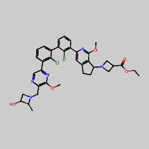 CCOC(=O)C1CN(C2CCc3cc(-c4cccc(-c5cccc(-c6cnc(CN7CC(O)C7C)c(OC)n6)c5Cl)c4Cl)nc(OC)c32)C1